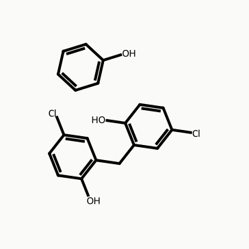 Oc1ccc(Cl)cc1Cc1cc(Cl)ccc1O.Oc1ccccc1